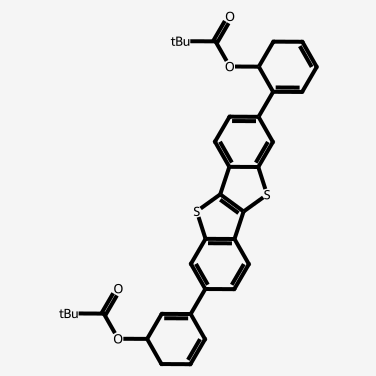 CC(C)(C)C(=O)OC1C=C(c2ccc3c(c2)sc2c4ccc(C5=CC=CCC5OC(=O)C(C)(C)C)cc4sc32)C=CC1